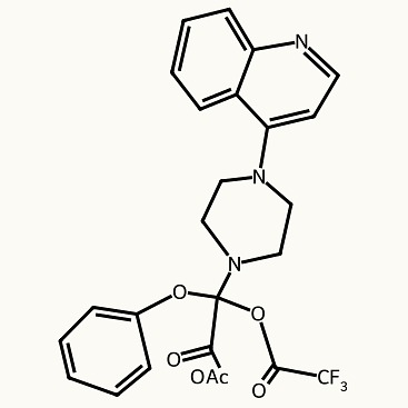 CC(=O)OC(=O)C(OC(=O)C(F)(F)F)(Oc1ccccc1)N1CCN(c2ccnc3ccccc23)CC1